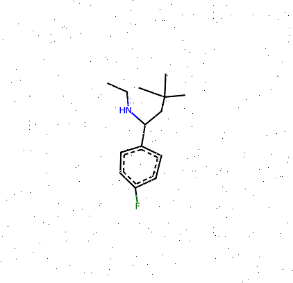 CCNC(CC(C)(C)C)c1ccc(F)cc1